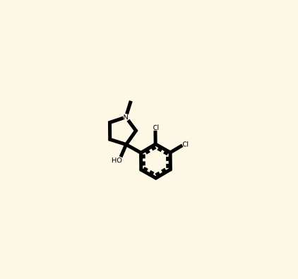 CN1CCC(O)(c2cccc(Cl)c2Cl)C1